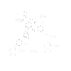 CCCOc1ccccc1-c1c[nH]c(CN(c2ccc(C(=N)N)cc2)c2cc(OCC)cc(OC(C)C)c2F)n1.O=C(O)C(F)(F)F.O=C(O)C(F)(F)F